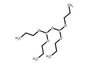 CCCOP(OCCC)OP(OCCC)OCCC